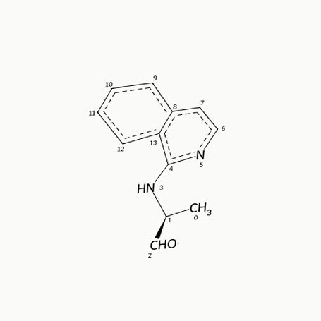 C[C@@H]([C]=O)Nc1nccc2ccccc12